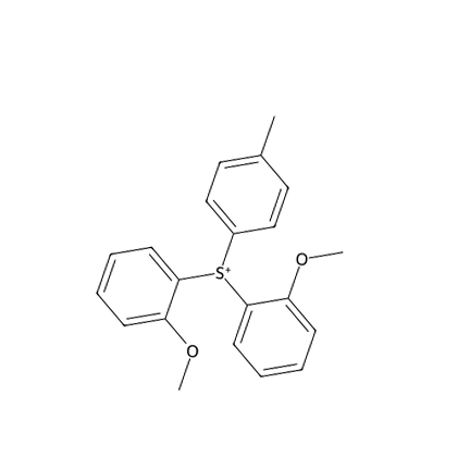 COc1ccccc1[S+](c1ccc(C)cc1)c1ccccc1OC